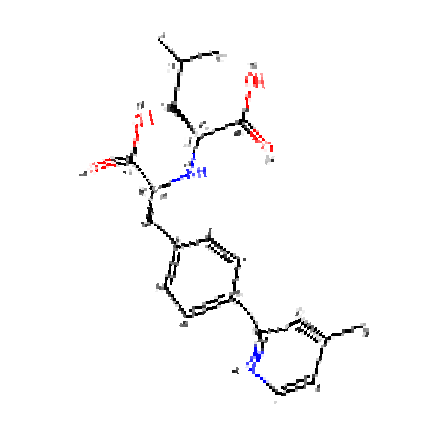 Cc1ccnc(-c2ccc(C[C@H](N[C@@H](CC(C)C)C(=O)O)C(=O)O)cc2)c1